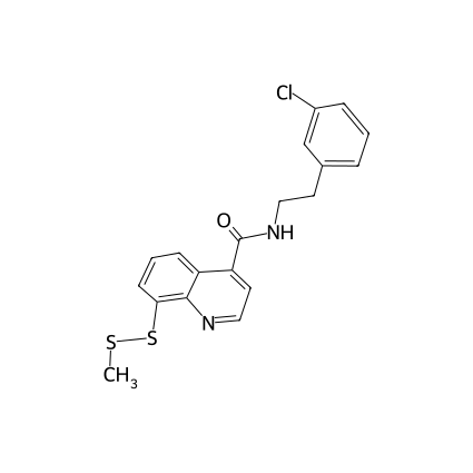 CSSc1cccc2c(C(=O)NCCc3cccc(Cl)c3)ccnc12